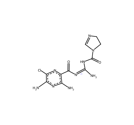 N/C(=N/C(=O)c1nc(Cl)c(N)nc1N)NC(=O)N1C=NCC1